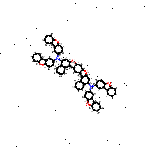 c1ccc2c(c1)oc1ccc(N(c3ccc4oc5ccccc5c4c3)c3cc4oc5cc6oc7cc(N(c8ccc9oc%10ccccc%10c9c8)c8ccc9oc%10ccccc%10c9c8)c8ccccc8c7c6cc5c4c4ccccc34)cc12